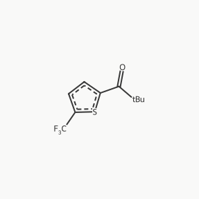 CC(C)(C)C(=O)c1ccc(C(F)(F)F)s1